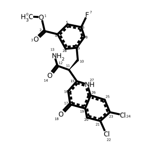 COC(=O)c1cc(F)cc(C[C@H](C(N)=O)c2cc(=O)c3cc(Cl)c(Cl)cc3[nH]2)c1